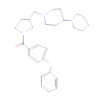 O=C(c1ccc(Oc2ccccc2)cc1)N1CCC(CN2CCC(N3CCCCC3)CC2)C1